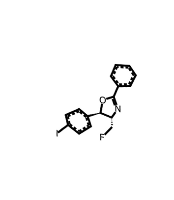 FC[C@H]1N=C(c2ccccc2)O[C@@H]1c1ccc(I)cc1